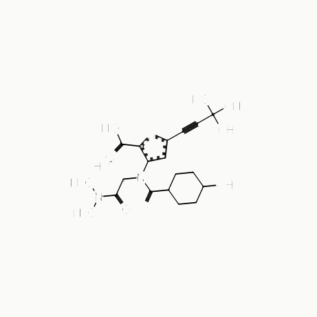 CC1CCC(C(=O)N(c2cc(C#CC(C)(C)C)sc2C(=O)O)[C@@H](C)C(=O)N(C)C)CC1